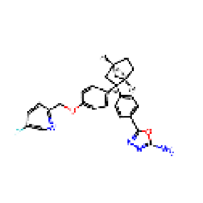 Nc1nnc(-c2ccc([C@@]3(c4ccc(OCc5ccc(F)cn5)cc4)C[C@@H]4CC[C@H]3C4)cc2)o1